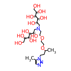 Cc1cnnn1CCC(C)OCCOCCN(C[C@H](O)[C@@H](O)[C@H](O)[C@H](O)CO)C[C@H](O)[C@@H](O)[C@H](O)[C@H](O)CO